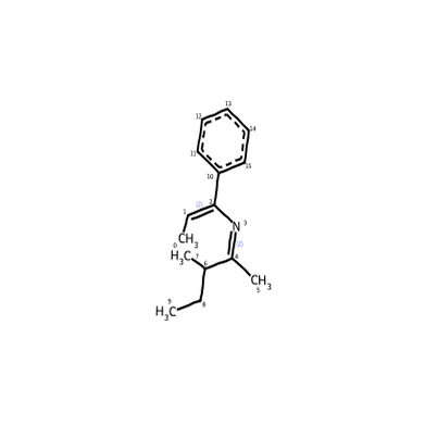 C/C=C(\N=C(\C)C(C)CC)c1ccccc1